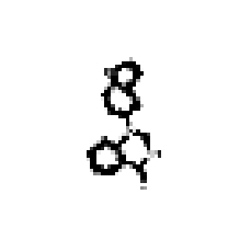 O=C1NCN(c2ccc3[nH]ccc3c2)c2ccccc21